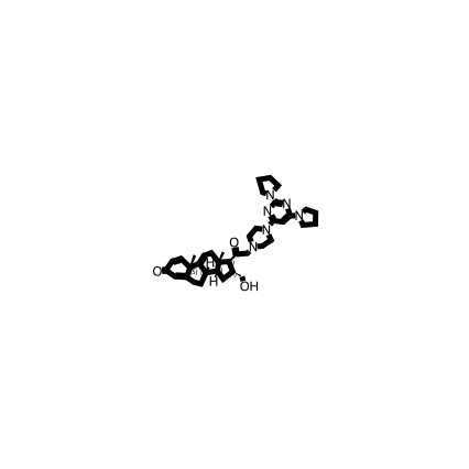 C[C@]12C=CC(=O)C=C1CC[C@@H]1C2=CC[C@@]2(C)[C@H]1C[C@@H](CO)[C@@H]2C(=O)CN1CCN(c2cc(N3CCCC3)nc(N3CCCC3)n2)CC1